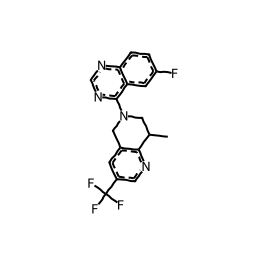 CC1CN(c2ncnc3ccc(F)cc23)Cc2cc(C(F)(F)F)cnc21